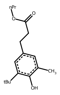 CCCOC(=O)CCc1cc(C)c(O)c(C(C)(C)C)c1